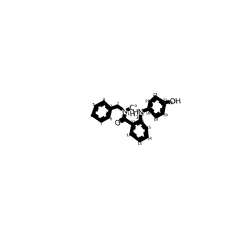 CN(Cc1ccccc1)C(=O)c1ccccc1Nc1ccc(O)cc1